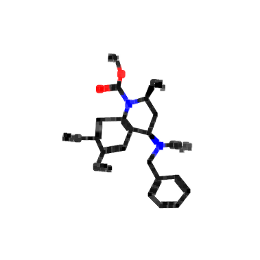 CCOC(=O)N(Cc1ccccc1)[C@@H]1C[C@H](C)N(C(=O)OC(C)C)c2cc(OC)c(OC)cc21